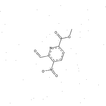 COC(=O)c1ccc([N+](=O)[O-])c(C=O)n1